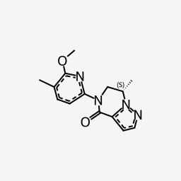 COc1nc(N2C[C@H](C)n3nccc3C2=O)ccc1C